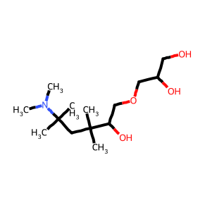 CN(C)C(C)(C)CC(C)(C)C(O)COCC(O)CO